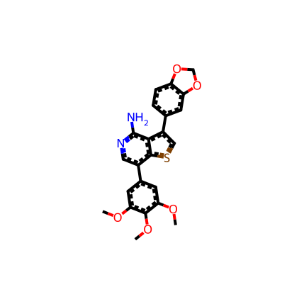 COc1cc(-c2cnc(N)c3c(-c4ccc5c(c4)OCO5)csc23)cc(OC)c1OC